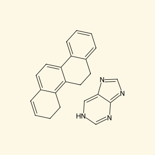 C1=Cc2ccc3c(c2CC1)CCc1ccccc1-3.c1nc2c[nH]cnc-2n1